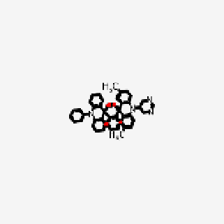 Cc1ccc2c(c1)C1(c3cc(C)ccc3N2c2cncnc2)c2ccccc2C2(c3ccccc3N(c3ccccc3)c3ccccc32)c2ccccc21